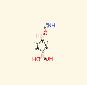 N=COBc1ccc(B(O)O)cc1